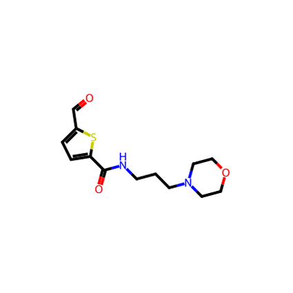 O=Cc1ccc(C(=O)NCCCN2CCOCC2)s1